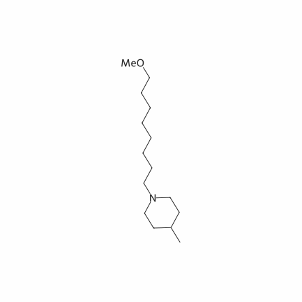 COCCCCCCCCN1CCC(C)CC1